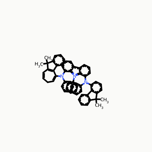 CC1(C)C2=C(C(N(c3ccccc3)c3cccc4c5cccc(N(c6ccccc6)c6cccc7c6-c6ccccc6C7(C)C)c5n(-c5ccccc5)c34)=CCC=C2)c2ccccc21